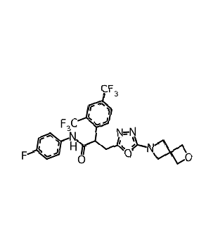 O=C(Nc1ccc(F)cc1)C(Cc1nnc(N2CC3(COC3)C2)o1)c1ccc(C(F)(F)F)cc1C(F)(F)F